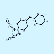 O=C=NC1(N=C=O)CCC(CC2CCCCC2)CC1